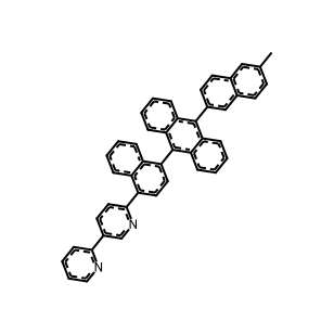 Cc1ccc2cc(-c3c4ccccc4c(-c4ccc(-c5ccc(-c6ccccn6)cn5)c5ccccc45)c4ccccc34)ccc2c1